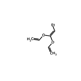 C=COC(=CCC)OC=C